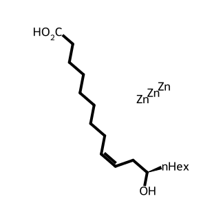 CCCCCC[C@@H](O)C/C=C\CCCCCCCC(=O)O.[Zn].[Zn].[Zn]